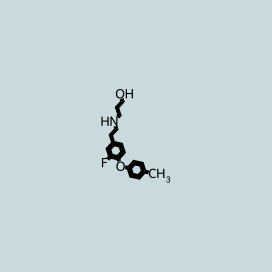 Cc1ccc(Oc2ccc(CCNCCCO)cc2F)cc1